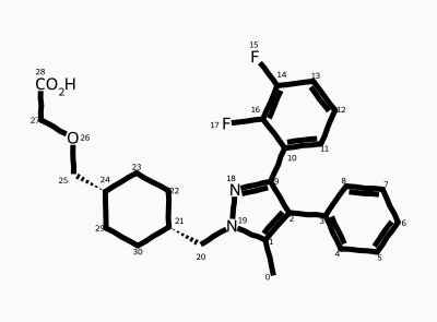 Cc1c(-c2ccccc2)c(-c2cccc(F)c2F)nn1C[C@H]1CC[C@@H](COCC(=O)O)CC1